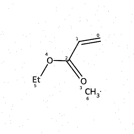 C=CC(=O)OCC.[CH3]